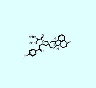 CCCCCCC(CCCCCC)C(=O)OC[N+]1(CCCC(=O)c2ccc(CC)cc2)CC[C@H]2[C@@H](C1)c1cccc3c1N2CCN3C